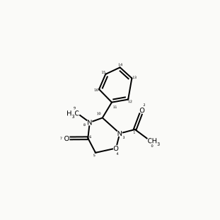 CC(=O)N1OCC(=O)N(C)C1c1ccccc1